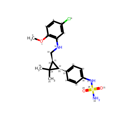 COc1ccc(Cl)cc1NC[C@H]1[C@H](c2ccc(NS(N)(=O)=O)cc2)C1(C)C